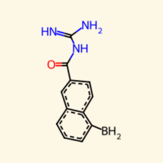 Bc1cccc2cc(C(=O)NC(=N)N)ccc12